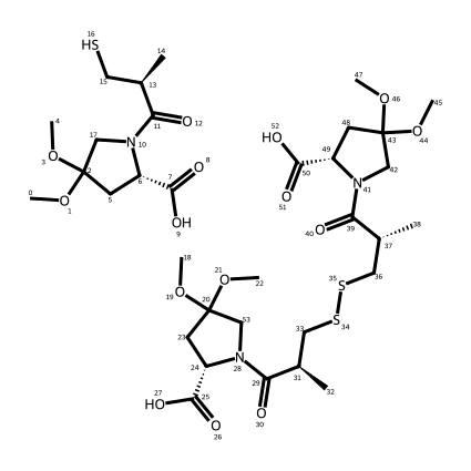 COC1(OC)C[C@@H](C(=O)O)N(C(=O)[C@H](C)CS)C1.COC1(OC)C[C@@H](C(=O)O)N(C(=O)[C@H](C)CSSC[C@@H](C)C(=O)N2CC(OC)(OC)C[C@H]2C(=O)O)C1